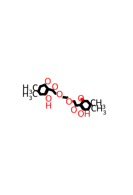 CC1(C)CC(=O)C(C(=O)COCCOCC(=O)C2=C(O)CC(C)(C)CC2=O)=C(O)C1